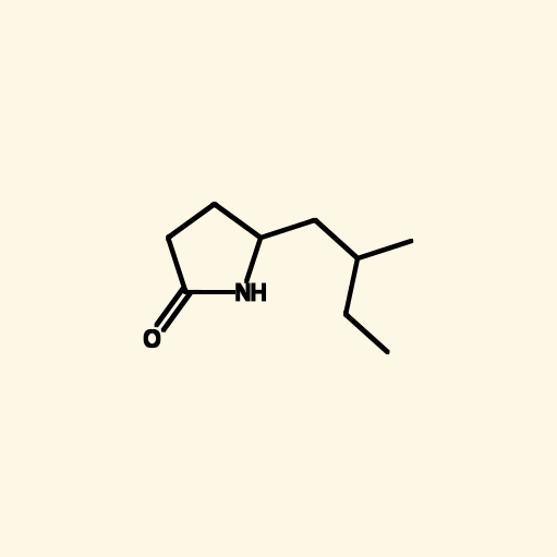 CCC(C)CC1CCC(=O)N1